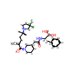 CC(C)(CCC(C#N)C(=O)N1CCC[C@H](CC(=O)N[C@@H](Cc2ccccc2)B(O)O)C1)N1CCC(F)(F)C1